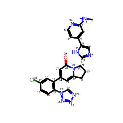 CNc1cc(-c2cnc([C@@H]3CCc4cc(-c5cc(Cl)ccc5-n5cnnn5)cc(=O)n43)[nH]2)ccn1